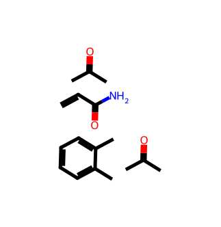 C=CC(N)=O.CC(C)=O.CC(C)=O.Cc1ccccc1C